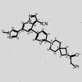 CC(C)CC(=O)N1CC2(CCN(c3ccc(-c4cc(-c5cnn(C)c5)cn5ncc(C#N)c45)cn3)CC2)C1